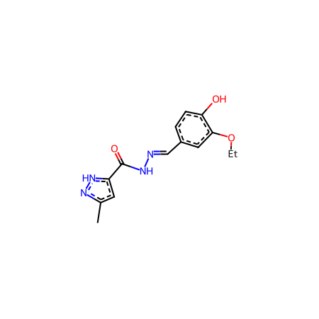 CCOc1cc(/C=N/NC(=O)c2cc(C)n[nH]2)ccc1O